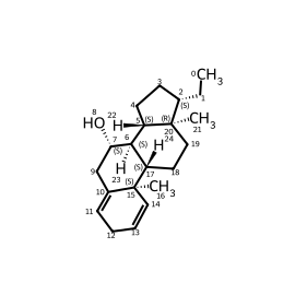 CC[C@H]1CC[C@H]2[C@@H]3[C@@H](O)CC4=CCC=C[C@]4(C)[C@H]3CC[C@]12C